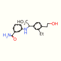 CCc1cc(C(Nc2cccc(C(N)=O)c2)C(=O)O)ccc1CCO